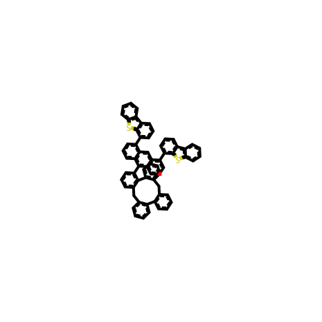 c1ccc2c(c1)Cc1ccccc1-c1c(cccc1-c1c3cccc(-c4cccc5c4sc4ccccc45)c3cc3c(-c4cccc5c4sc4ccccc45)cccc13)Cc1ccccc1-2